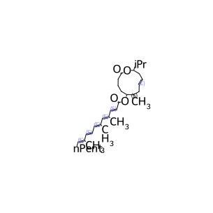 CCCCC/C=C(C)/C=C/C=C(C)/C=C(C)/C=C/C(=O)OC1CCCC(=O)OC(C(C)C)C/C=C/C[C@@H]1C